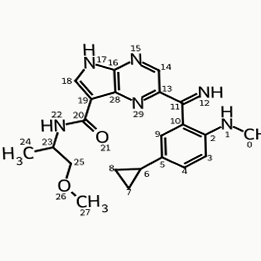 CNc1ccc(C2CC2)cc1C(=N)c1cnc2[nH]cc(C(=O)NC(C)COC)c2n1